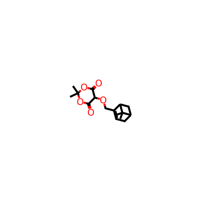 CC1(C)OC(=O)C(OCC2=CCC3CC2C3(C)C)C(=O)O1